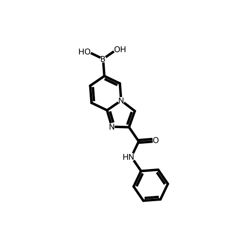 O=C(Nc1ccccc1)c1cn2cc(B(O)O)ccc2n1